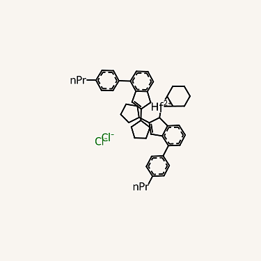 CCCc1ccc(-c2cccc3c2C=C(C2CCCC2)[CH]3[Hf+2]2([CH]3C(C4CCCC4)=Cc4c(-c5ccc(CCC)cc5)cccc43)[CH]3CCCC[CH]32)cc1.[Cl-].[Cl-]